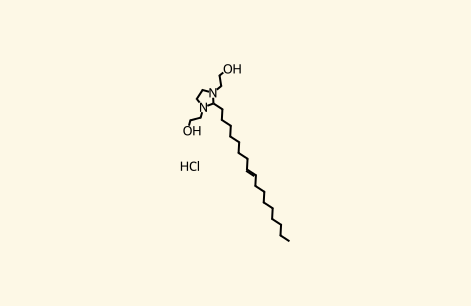 CCCCCCCCC=CCCCCCCCC1N(CCO)CCN1CCO.Cl